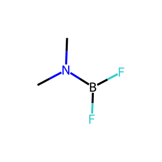 CN(C)B(F)F